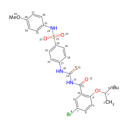 CCCCC(C)Oc1ccc(Br)cc1C(=O)NC(=S)Nc1ccc(S(=O)(=O)Nc2ccc(OC)cc2)cc1